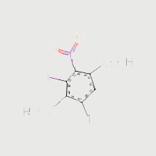 O=C(O)c1cc(I)c(C(=O)O)c(I)c1I(=O)=O